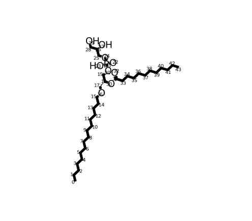 CCCCCCCCCCCCCCCCOC[C@H](COP(=O)(O)OC[C@@H](O)CO)OC(=O)CCCCCCCCCCC